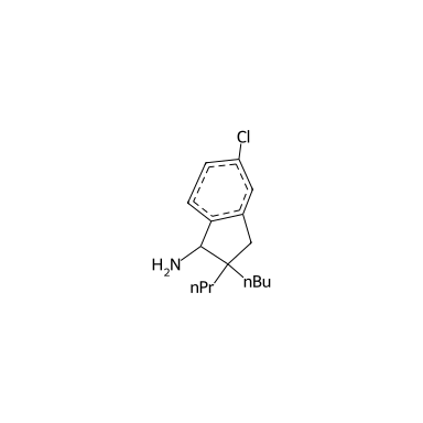 CCCCC1(CCC)Cc2cc(Cl)ccc2C1N